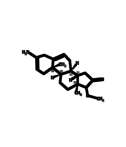 COC1C(=O)C[C@H]2[C@@H]3CC=C4CC(N)=CC[C@]4(C)[C@@H]3CC[C@]12C